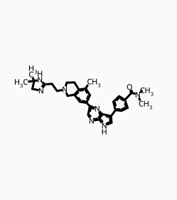 Cc1cc(-c2cnc3[nH]cc(-c4ccc(C(=O)N(C)C)cc4)c3n2)cc2c1CCN(CCC1=NCC(C)(C)N1)C2